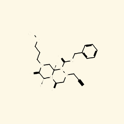 C#CCN1CC(=O)N2[C@@H](C(C)C)C(=O)N(CCCOCCCC)C[C@@H]2N1C(=O)NCc1ccccc1